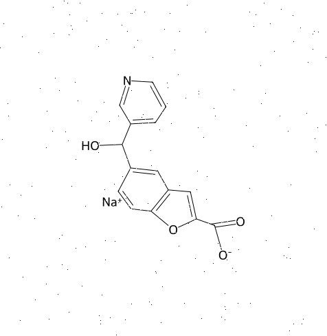 O=C([O-])c1cc2cc(C(O)c3cccnc3)ccc2o1.[Na+]